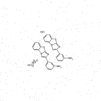 Cl.Cl.Cl.Cl.Nc1cccc(-c2cn3c(n2)sc2ccccc23)c1.Nc1cccc(-c2cn3c(n2)sc2ccccc23)c1.O